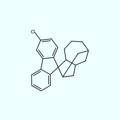 Clc1ccc2c(c1)-c1ccccc1C21C2CC3CCCC1C(C3)C2